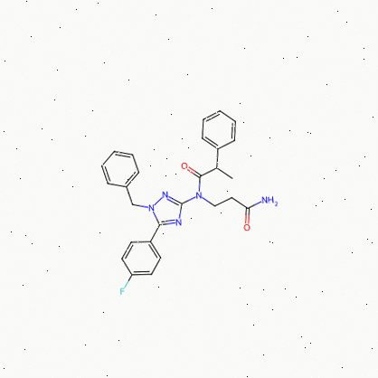 CC(C(=O)N(CCC(N)=O)c1nc(-c2ccc(F)cc2)n(Cc2ccccc2)n1)c1ccccc1